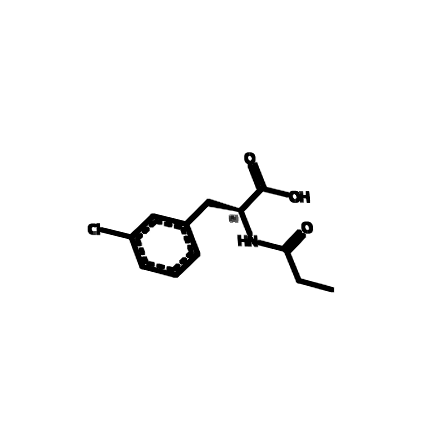 CCC(=O)N[C@@H](Cc1cccc(Cl)c1)C(=O)O